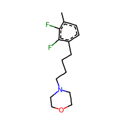 Cc1ccc(CCCCN2CCOCC2)c(F)c1F